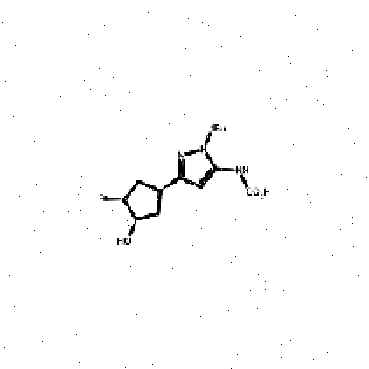 CC(C)(C)n1nc([C@H]2C[C@@H](O)[C@@H](F)C2)cc1NC(=O)O